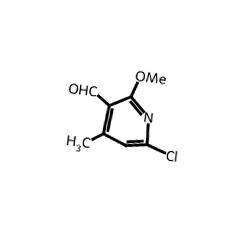 COc1nc(Cl)cc(C)c1C=O